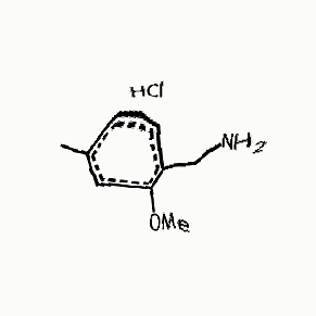 COc1cc(C)ccc1CN.Cl